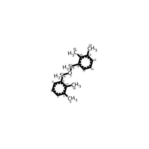 Cc1cccc([SiH2]O[SiH2]c2cccc(C)c2C)c1C